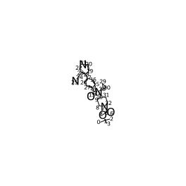 CC(C)(C)OC(=O)N1CCC(N(C(=O)c2ccc(-c3ccncc3C#N)cc2)C2CC2)CC1